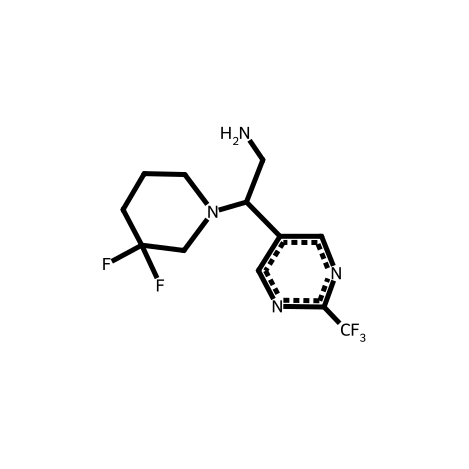 NCC(c1cnc(C(F)(F)F)nc1)N1CCCC(F)(F)C1